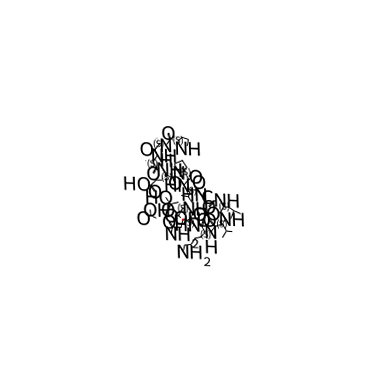 CC(=O)O.CC(C)C[C@H](NC(=O)CNC(=O)[C@@H](NC(=O)[C@@H]1CCCN1C(=O)[C@H](CCC(=O)O)NC(=O)[C@H](C)NC(=O)[C@H](C)NC(=O)[C@@H]1CCCN1)C(C)C)C(=O)N[C@H](C(=O)N[C@@H](CCCCN)C(=O)N[C@@H](CCC(N)=O)C(=O)N[C@@H](CC(=O)O)C(=O)O)C(C)C